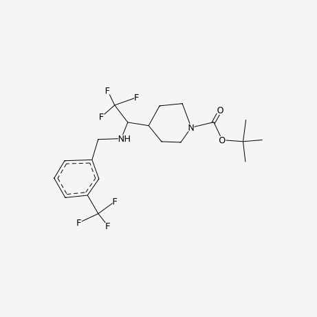 CC(C)(C)OC(=O)N1CCC(C(NCc2cccc(C(F)(F)F)c2)C(F)(F)F)CC1